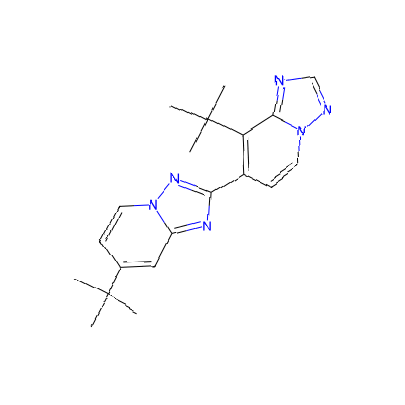 CC(C)(C)c1ccn2nc(-c3ccn4ncnc4c3C(C)(C)C)nc2c1